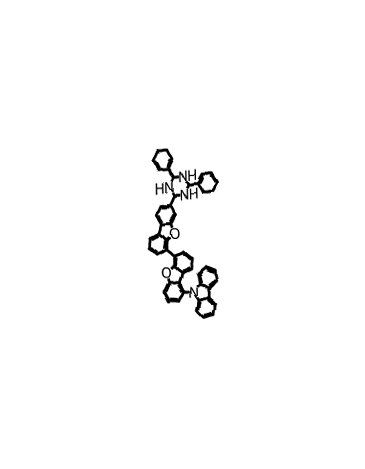 C1=CCCC(C2NC(C3=CCCC=C3)NC(c3ccc4c(c3)oc3c(-c5cccc6c5oc5cccc(-n7c8ccccc8c8ccccc87)c56)cccc34)N2)=C1